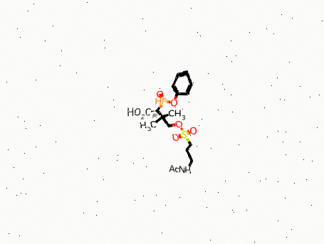 CC(=O)NCCCS(=O)(=O)OCC(C)(C)[C@H](C(=O)O)[PH](=O)Oc1ccccc1